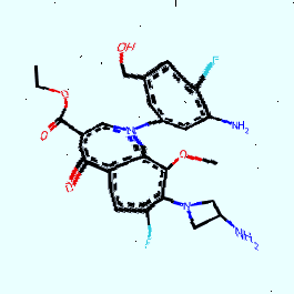 CCOC(=O)c1cn(-c2cc(N)c(F)cc2CO)c2c(OC)c(N3CC(N)C3)c(F)cc2c1=O